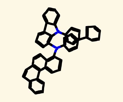 c1ccc(-c2ccc(N(c3cccc4c3ccc3ccc5ccccc5c34)c3cccc4c5ccccc5n(-c5ccccc5)c34)cc2)cc1